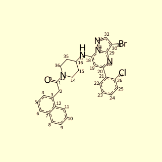 O=C(Cc1cccc2ccccc12)N1CCC(Nc2cc(-c3ccccc3Cl)nc3c(Br)cnn23)CC1